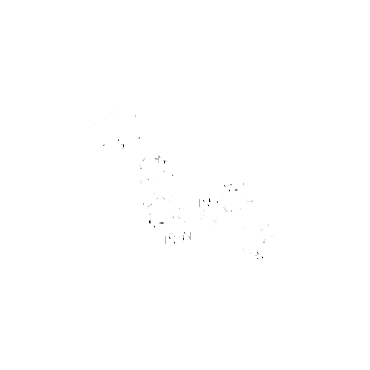 c1cc(-c2ccnc3[nH]c(-c4n[nH]c5ncc(-c6cncc(CN7CCCCC7)c6)cc45)cc23)ccn1